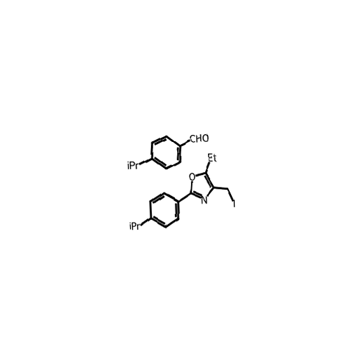 CC(C)c1ccc(C=O)cc1.CCc1oc(-c2ccc(C(C)C)cc2)nc1CI